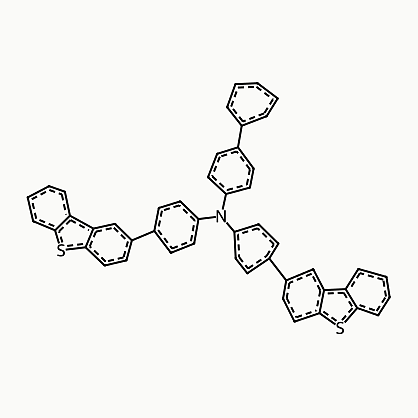 c1ccc(-c2ccc(N(c3ccc(-c4ccc5sc6ccccc6c5c4)cc3)c3ccc(-c4ccc5sc6ccccc6c5c4)cc3)cc2)cc1